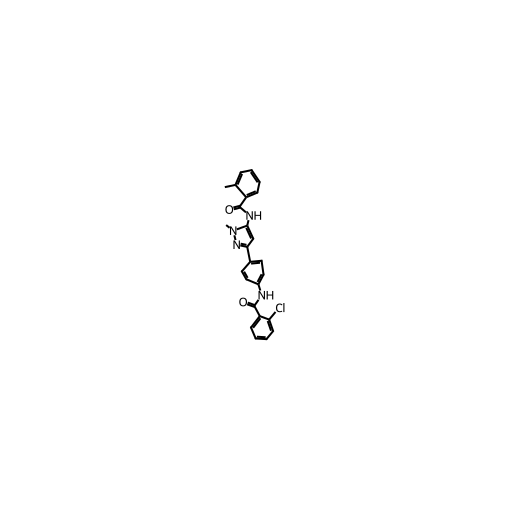 Cc1ccccc1C(=O)Nc1cc(-c2ccc(NC(=O)c3ccccc3Cl)cc2)nn1C